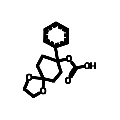 O=C(O)OC1(c2ccccc2)CCC2(CC1)OCCO2